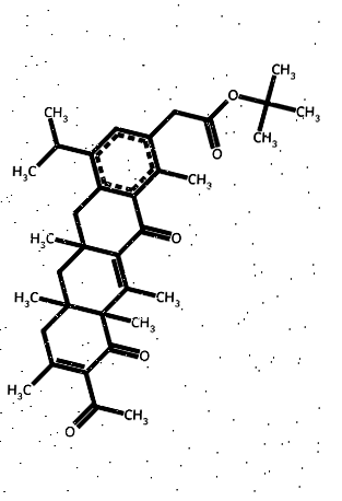 CC(=O)C1=C(C)CC2(C)CC3(C)Cc4c(C(C)C)cc(CC(=O)OC(C)(C)C)c(C)c4C(=O)C3=C(C)C2(C)C1=O